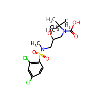 COC(CN(C(=O)O)C(C)(C)C)CN(C)S(=O)(=O)c1ccc(Cl)cc1Cl